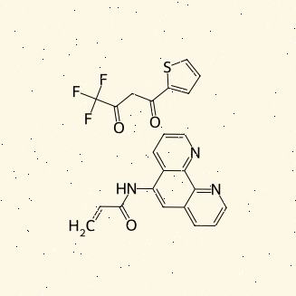 C=CC(=O)Nc1cc2cccnc2c2ncccc12.O=C(CC(=O)C(F)(F)F)c1cccs1